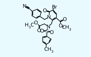 COC(=O)CN(Cc1c(C(=O)OC)cc(Br)c(=O)n1Cc1ccc(C#N)cc1)S(=O)(=O)c1ccc(C)cc1